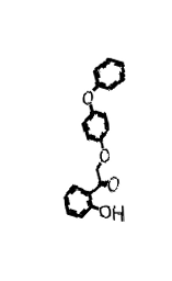 O=C(COc1ccc(Oc2ccccc2)cc1)c1ccccc1O